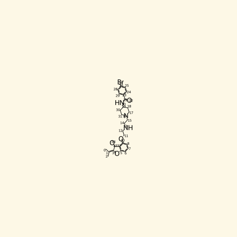 CC(C)=C1Oc2cccc(OCCNCCN3CCC(NC(=O)c4ccc(Br)cc4)CC3)c2C1=O